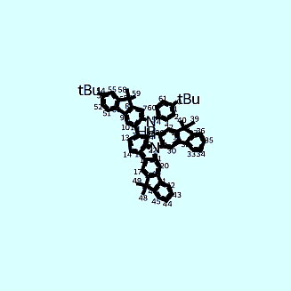 CC(C)(C)c1ccc(Nc2cc3c(cc2-c2ccc4c5cc6c(cc5n5c4c2Bc2cc4c(cc2-5)-c2ccccc2C4(C)C)-c2ccccc2C6(C)C)-c2ccc(C(C)(C)C)cc2C3(C)C)cc1